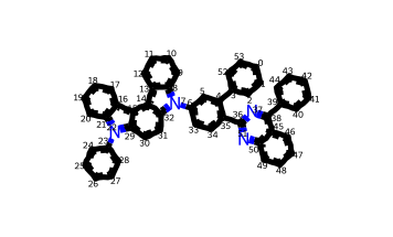 c1ccc(-c2cc(-n3c4ccccc4c4c5c6ccccc6n(-c6ccccc6)c5ccc43)ccc2-c2nc(-c3ccccc3)c3ccccc3n2)cc1